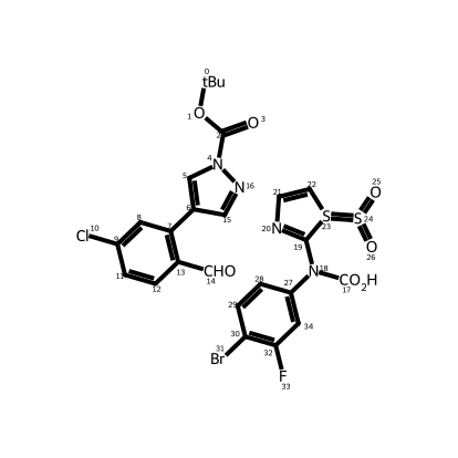 CC(C)(C)OC(=O)n1cc(-c2cc(Cl)ccc2C=O)cn1.O=C(O)N(C1=NC=CS1=S(=O)=O)c1ccc(Br)c(F)c1